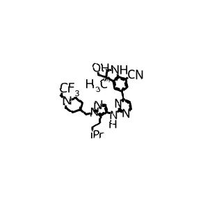 CC(C)CCc1c(Nc2nccc(-c3cc(C#N)c4c(c3)[C@@](C)(CO)CN4)n2)cnn1CC1CCN(CC(F)(F)F)CC1